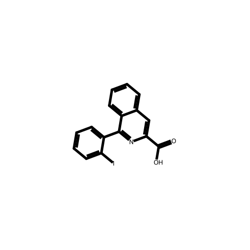 O=C(O)c1cc2ccccc2c(-c2ccccc2I)n1